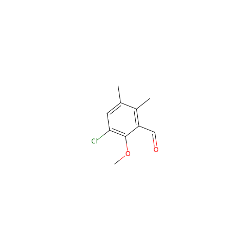 COc1c(Cl)cc(C)c(C)c1C=O